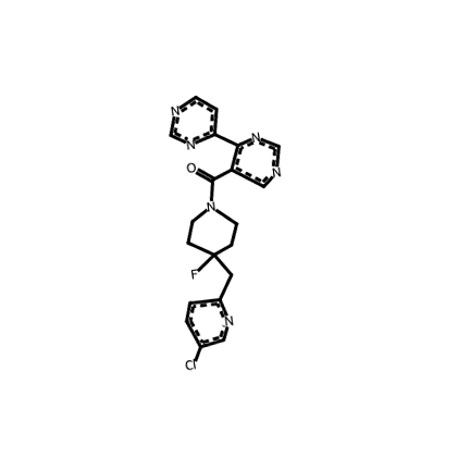 O=C(c1cncnc1-c1ccncn1)N1CCC(F)(Cc2ccc(Cl)cn2)CC1